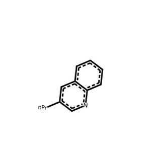 CCCc1cnc2ccccc2c1